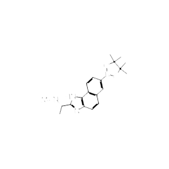 CN[C@@H](C)c1nc2ccc3cc(B4OC(C)(C)C(C)(C)O4)ccc3c2[nH]1